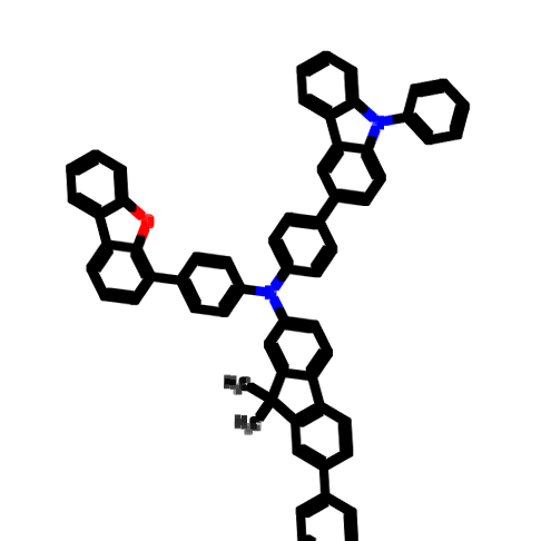 CC1(C)c2cc(-c3ccccc3)ccc2-c2ccc(N(c3ccc(-c4ccc5c(c4)c4ccccc4n5-c4ccccc4)cc3)c3ccc(-c4cccc5c4oc4ccccc45)cc3)cc21